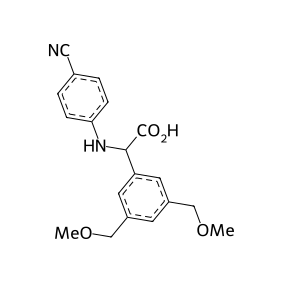 COCc1cc(COC)cc(C(Nc2ccc(C#N)cc2)C(=O)O)c1